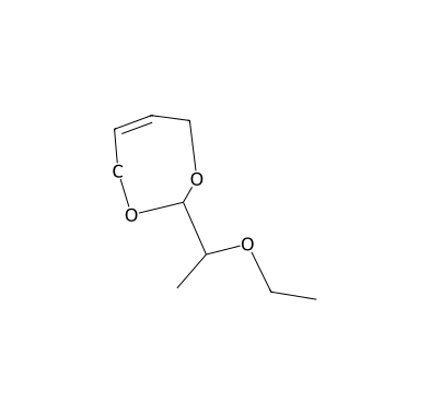 CCOC(C)C1OCC=CCO1